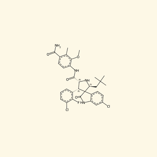 COc1c(NC(=O)[C@@H]2N[C@@H](CC(C)(C)C)C3(C(=O)Nc4cc(Cl)ccc43)[C@@H]2c2cccc(Cl)c2F)ccc(C(N)=O)c1C